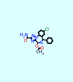 CC(=O)OC1N=C(c2ccccc2)c2cc(Cl)ccc2-n2nc(C(N)=O)nc21